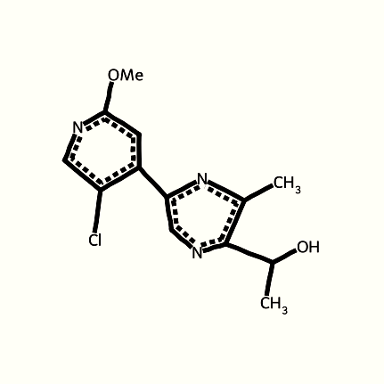 COc1cc(-c2cnc(C(C)O)c(C)n2)c(Cl)cn1